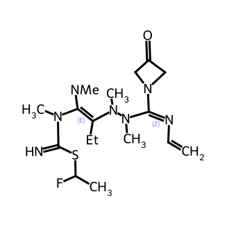 C=C/N=C(/N1CC(=O)C1)N(C)N(C)/C(CC)=C(\NC)N(C)C(=N)SC(C)F